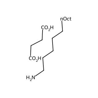 CCCCCCCCCCCCCN.O=C(O)CCC(=O)O